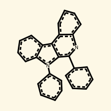 c1ccc(-c2nc3ccccc3c3c4ccccc4n(-c4ccccc4)c23)cc1